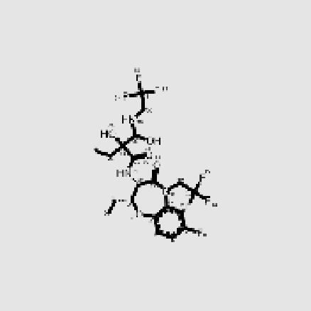 CC[C@H]1Oc2ccc(F)cc2N(CC(F)(F)F)C(=O)[C@H]1NC(=O)C(O)(CC)C(O)NCC(F)(F)F